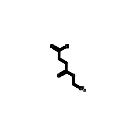 O=C(Cl)CCC(=O)OCC(F)(F)F